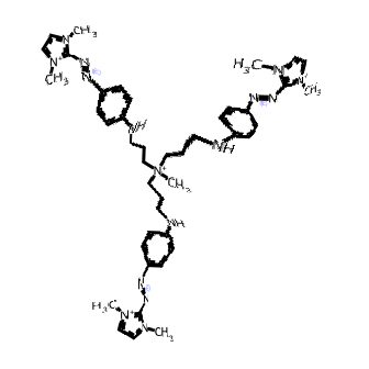 Cn1cc[n+](C)c1/N=N/c1ccc(NCCC[N+](C)(CCCNc2ccc(/N=N/c3n(C)cc[n+]3C)cc2)CCCNc2ccc(/N=N/c3n(C)cc[n+]3C)cc2)cc1